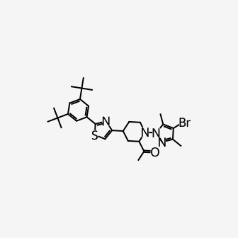 CC(=O)C1CC(c2csc(-c3cc(C(C)(C)C)cc(C(C)(C)C)c3)n2)CCN1n1nc(C)c(Br)c1C